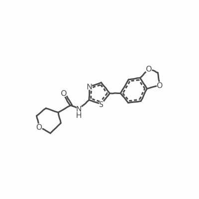 O=C(Nc1ncc(-c2ccc3c(c2)OCO3)s1)C1CCOCC1